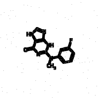 CN(c1cccc(F)c1)c1nc(=O)c2[nH]cnc2[nH]1